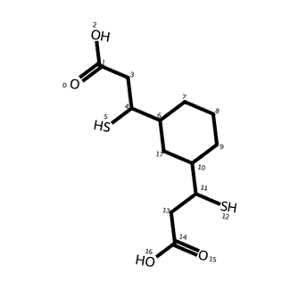 O=C(O)CC(S)C1CCCC(C(S)CC(=O)O)C1